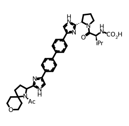 CC(=O)N1C(c2nc(-c3ccc(-c4ccc(-c5c[nH]c([C@@H]6CCCN6C(=O)[C@@H](NC(=O)O)C(C)C)n5)cc4)cc3)c[nH]2)CCC12CCOCC2